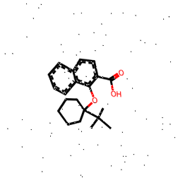 CC(C)(C)C1(Oc2c(C(=O)O)ccc3ccccc23)CCCCC1